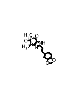 Cn1c(=O)c2[nH]c(/C=C/c3ccc4c(c3)OCO4)nc2n(C)c1=O